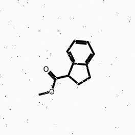 COC(=O)C1CCc2c[c]ccc21